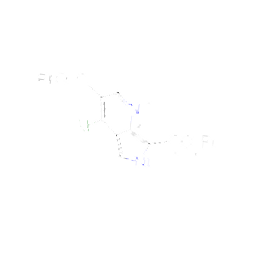 CCOC(=O)c1cnc2c(C(=O)OCC)[nH]cc2c1Cl